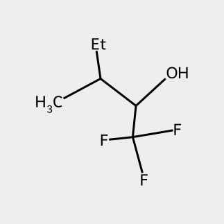 CCC(C)C(O)C(F)(F)F